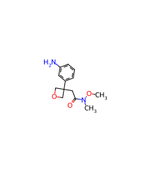 CON(C)C(=O)CC1(c2cccc(N)c2)COC1